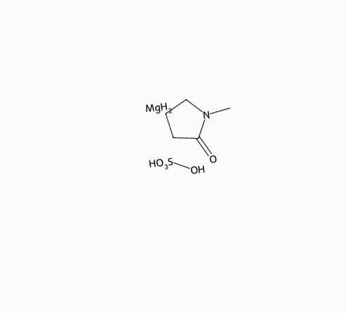 CN1CCCC1=O.O=S(=O)(O)O.[MgH2]